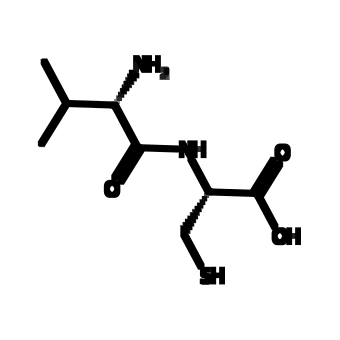 CC(C)[C@H](N)C(=O)N[C@@H](CS)C(=O)O